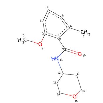 COc1cccc(C)c1C(=O)NC1CCOCC1